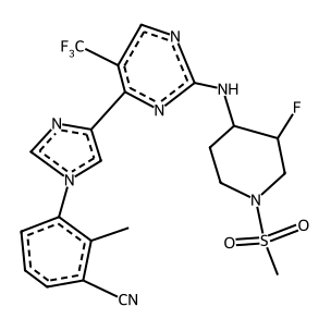 Cc1c(C#N)cccc1-n1cnc(-c2nc(NC3CCN(S(C)(=O)=O)CC3F)ncc2C(F)(F)F)c1